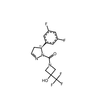 O=C(N1CC(O)(C(F)(F)F)C1)N1N=CC[C@H]1c1cc(F)cc(F)c1